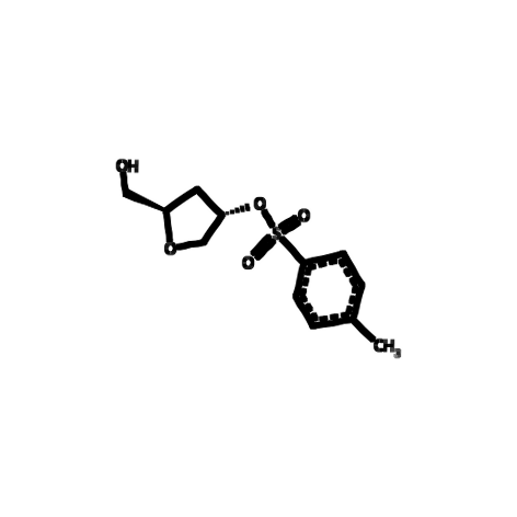 Cc1ccc(S(=O)(=O)O[C@@H]2CO[C@@H](CO)C2)cc1